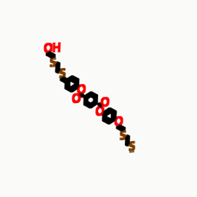 CSCCSCCOc1ccc(OC(=O)[C@H]2CC[C@H](C(=O)Oc3ccc(CSCCSCCO)cc3)CC2)cc1